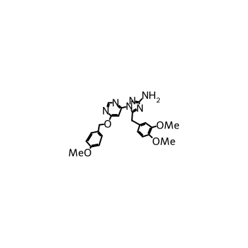 COc1ccc(COc2cc(-n3nc(N)nc3Cc3ccc(OC)c(OC)c3)ncn2)cc1